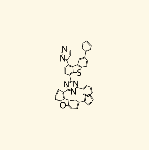 c1ccc(-c2ccc3oc4cccc(-c5nc(-c6ccccc6)nc(-c6ccc(-c7ccncn7)c7c6sc6ccc(-c8ccccc8)cc67)n5)c4c3c2)cc1